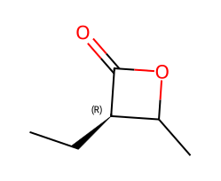 CC[C@H]1C(=O)OC1C